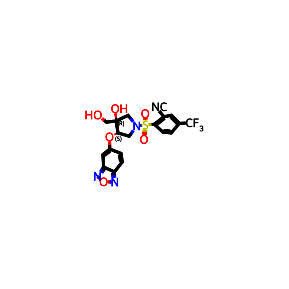 N#Cc1cc(C(F)(F)F)ccc1S(=O)(=O)N1C[C@H](Oc2ccc3nonc3c2)[C@](O)(CO)C1